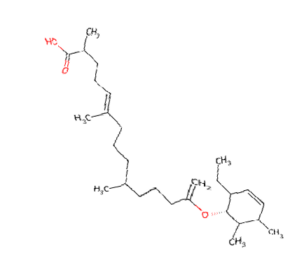 C=C(CCCC(C)CCC/C(C)=C/CCC(C)C(=O)O)O[C@@H]1C(CC)C=CC(C)C1C